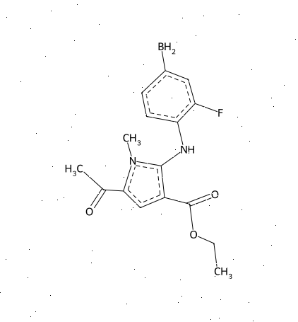 Bc1ccc(Nc2c(C(=O)OCC)cc(C(C)=O)n2C)c(F)c1